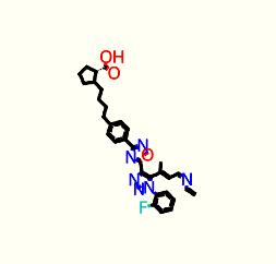 C=C/N=C\C=C(/C)c1c(-c2nc(-c3ccc(CCCCC4CCC[C@@H]4C(=O)O)cc3)no2)nnn1-c1ccccc1F